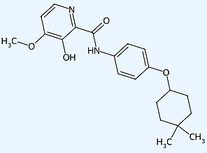 COc1ccnc(C(=O)Nc2ccc(OC3CCC(C)(C)CC3)cc2)c1O